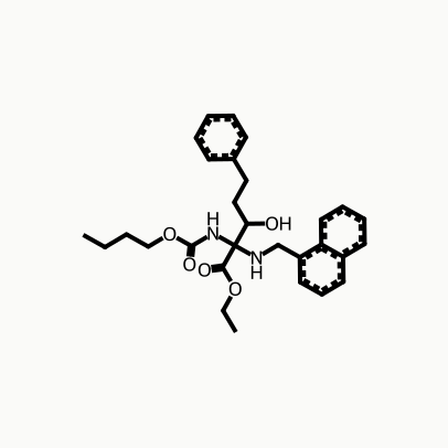 CCCCOC(=O)NC(NCc1cccc2ccccc12)(C(=O)OCC)C(O)CCc1ccccc1